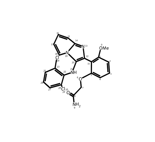 COc1cccc(OCC(N)=O)c1-c1nc2ccccn2c1Nc1c(Cl)cccc1Cl